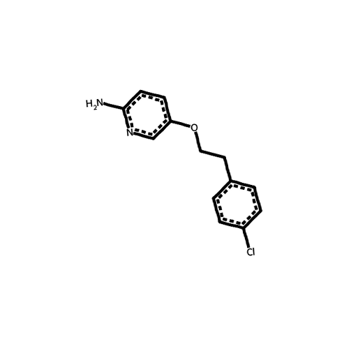 Nc1ccc(OCCc2ccc(Cl)cc2)cn1